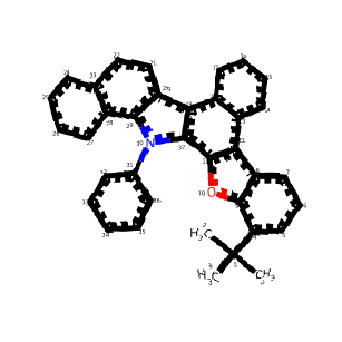 CC(C)(C)c1cccc2c1oc1c2c2ccccc2c2c3ccc4ccccc4c3n(-c3ccccc3)c12